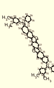 Cc1ccc(N(c2ccccc2)c2ccc3cc4c(cc3c2)oc2cc3c(cc24)oc2cc4cc(N(c5ccccc5)c5ccc(C)c(C)c5)ccc4cc23)cc1C